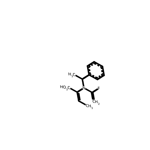 C=C(F)N(/C(=C\C)C(=O)O)C(C)c1ccccc1